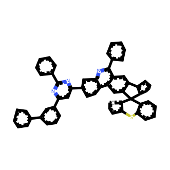 c1ccc(-c2cccc(-c3cc(-c4ccc5c(c4)nc(-c4ccccc4)c4cc6c(cc45)C4(c5ccccc5Sc5ccccc54)c4ccccc4-6)nc(-c4ccccc4)n3)c2)cc1